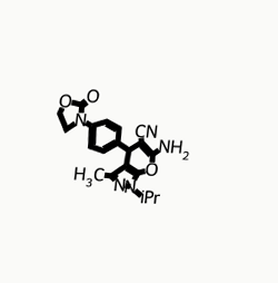 Cc1nn(C(C)C)c2c1C(c1ccc(N3CCOC3=O)cc1)C(C#N)=C(N)O2